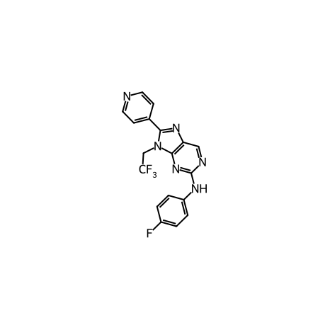 Fc1ccc(Nc2ncc3nc(-c4ccncc4)n(CC(F)(F)F)c3n2)cc1